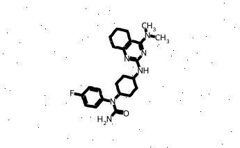 CN(C)c1nc(NC2CCC(N(C(N)=O)c3ccc(F)cc3)CC2)nc2c1CCCC2